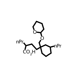 CCCC1CCCC(CCC(CCC)C(=O)O)(COC2CCCCO2)C1